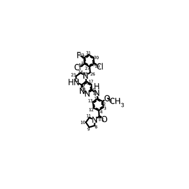 COc1cc(C(=O)N2CCCC2)ccc1Nc1cc2c(nn1)NCCN2Cc1c(Cl)ccc(F)c1Cl